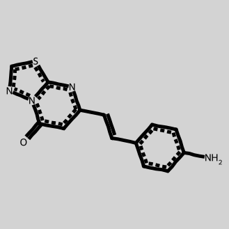 Nc1ccc(/C=C/c2cc(=O)n3ncsc3n2)cc1